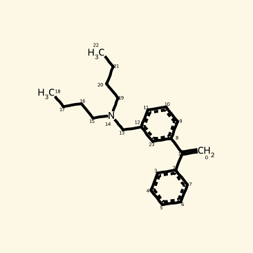 C=C(c1ccccc1)c1cccc(CN(CCCC)CCCC)c1